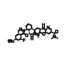 CN(C)C(=O)c1ccc(Nc2cc(-c3cccc(-n4ncc5cc(C(C)(C)C)cc(F)c5c4=O)c3CO)nn(C)c2=O)nc1